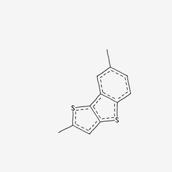 Cc1ccc2sc3cc(C)sc3c2c1